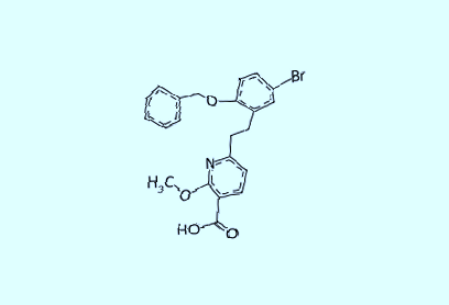 COc1nc(CCc2cc(Br)ccc2OCc2ccccc2)ccc1C(=O)O